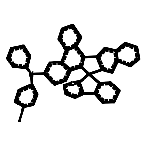 Cc1ccc(N(c2ccccc2)c2ccc3c4c(c5ccccc5c3c2)-c2cc3ccccc3cc2C42c3ccccc3-c3ccccc32)cc1